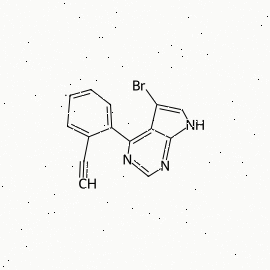 C#Cc1c[c]ccc1-c1ncnc2[nH]cc(Br)c12